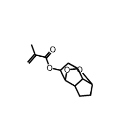 C=C(C)C(=O)OC1C2OC3C1OC1CCC2C13